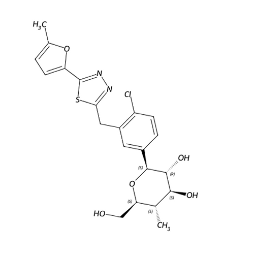 Cc1ccc(-c2nnc(Cc3cc([C@@H]4O[C@H](CO)[C@@H](C)[C@H](O)[C@H]4O)ccc3Cl)s2)o1